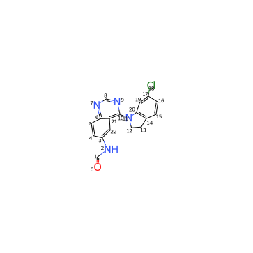 O=CNc1ccc2ncnc(N3CCc4ccc(Cl)cc43)c2c1